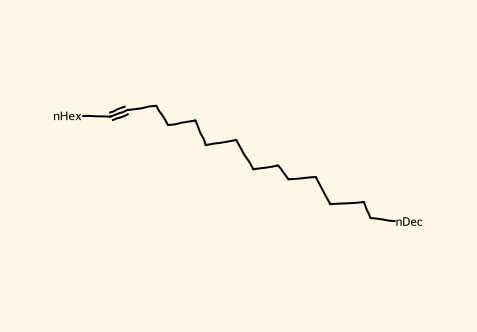 [CH2]CCCCCC#CCCCCCCCCCCCCCCCCCCCCC[CH2]